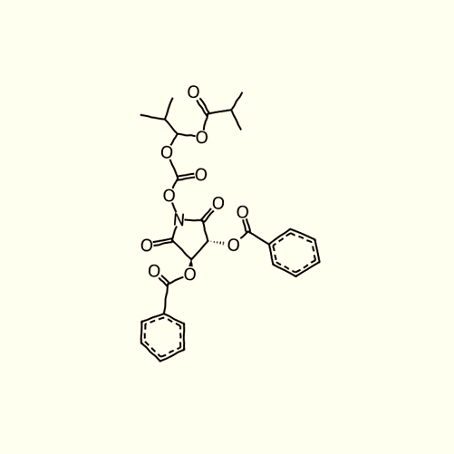 CC(C)C(=O)OC(OC(=O)ON1C(=O)[C@H](OC(=O)c2ccccc2)[C@@H](OC(=O)c2ccccc2)C1=O)C(C)C